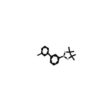 Cc1cccc(-c2cccc(B3OC(C)(C)C(C)(C)O3)c2)c1